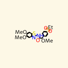 CCS(=O)(=O)c1ccc(C(OC)C(=O)Nc2nc3cc(OC)c(OC)cc3s2)cc1